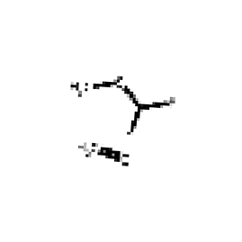 C=O.CSC(F)F